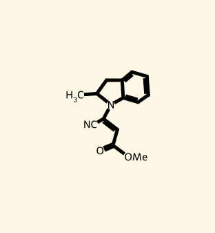 COC(=O)C=C(C#N)N1c2ccccc2CC1C